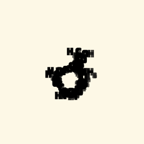 C[C@@H](Cc1cccc([C@@]2(C)CCCC(C)(C)CS(=O)(=O)CCc3c[nH]c4cc(F)c(cc34)[S+]([O-])c3ccc(F)c(c3)-c3nc2nn3C)c1)C(=O)O